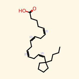 CCCCC1(/C=C\C/C=C\C/C=C\C/C=C\CCCC(=O)O)CCCC1